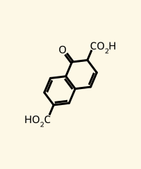 O=C(O)c1ccc2c(c1)C=CC(C(=O)O)C2=O